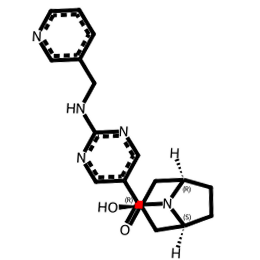 O=C(c1cnc(NCc2cccnc2)nc1)N1[C@@H]2CC[C@H]1C[C@@H](O)C2